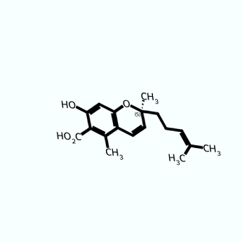 CC(C)=CCC[C@@]1(C)C=Cc2c(cc(O)c(C(=O)O)c2C)O1